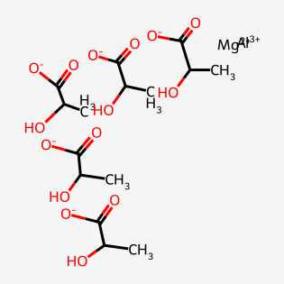 CC(O)C(=O)[O-].CC(O)C(=O)[O-].CC(O)C(=O)[O-].CC(O)C(=O)[O-].CC(O)C(=O)[O-].[Al+3].[Mg+2]